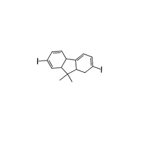 CC1(C)C2CC(I)=CC=C2C2C=CC(I)=CC21